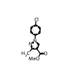 COC(=O)c1cn(-c2ccc(Cl)cc2)nc1C